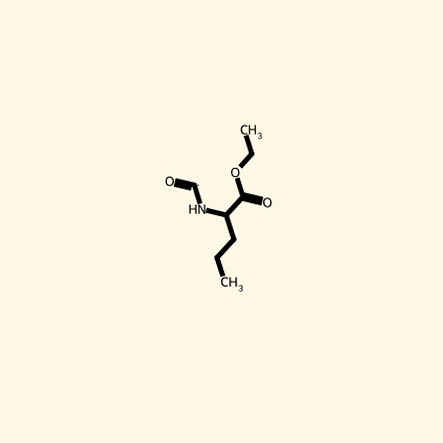 CCCC(N[C]=O)C(=O)OCC